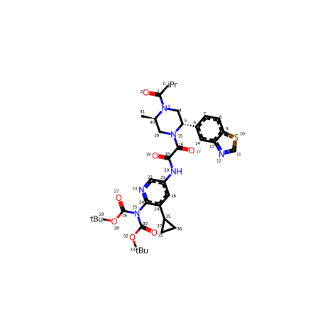 CC(C)C(=O)N1C[C@H](c2ccc3scnc3c2)N(C(=O)C(=O)Nc2cnc(N(C(=O)OC(C)(C)C)C(=O)OC(C)(C)C)c(C3CC3)c2)C[C@H]1C